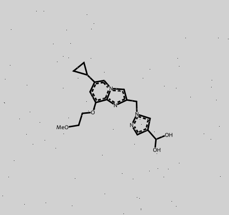 COCCOc1cc(C2CC2)cn2cc(Cn3cc(C(O)O)cn3)nc12